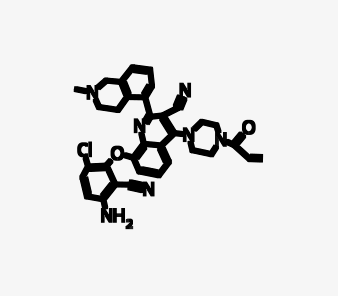 C=CC(=O)N1CCN(c2c(C#N)c(-c3cccc4c3CCN(C)C4)nc3c(Oc4c(Cl)ccc(N)c4C#N)cccc23)CC1